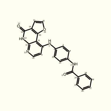 O=C(Nc1ccc(Nc2ccnc3[nH]c(=O)c4ccoc4c23)cc1)c1ccccc1